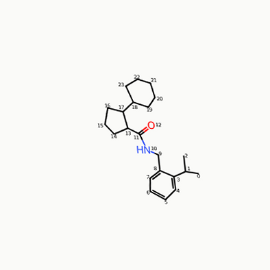 CC(C)c1ccccc1CNC(=O)C1CCCC1C1CCCCC1